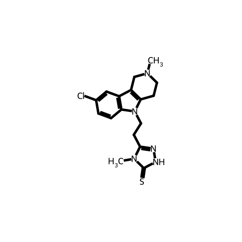 CN1CCc2c(c3cc(Cl)ccc3n2CCc2n[nH]c(=S)n2C)C1